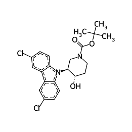 CC(C)(C)OC(=O)N1CC[C@H](O)[C@@H](n2c3ccc(Cl)cc3c3cc(Cl)ccc32)C1